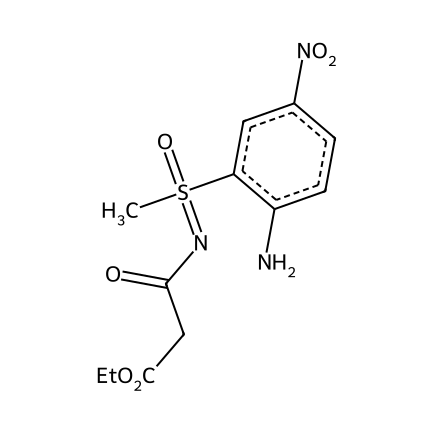 CCOC(=O)CC(=O)N=S(C)(=O)c1cc([N+](=O)[O-])ccc1N